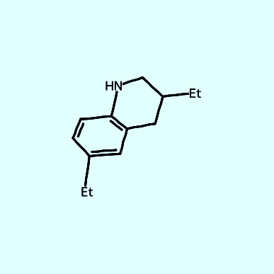 CCc1ccc2c(c1)CC(CC)CN2